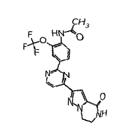 CC(=O)Nc1ccc(-c2nccc(-c3cc4n(n3)CCNC4=O)n2)cc1OC(F)(F)F